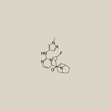 Cn1cc(Nc2nccc(C3=CC4CCC(C3)N4C(=O)C3CC3F)n2)cn1